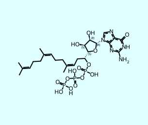 CC(C)=CCCC(C)=CCCC(C)=CCC(OP(=O)(O)OP(=O)(O)OP(=O)(O)O)[C@H]1O[C@@H](n2cnc3c(=O)[nH]c(N)nc32)[C@H](O)[C@@H]1O